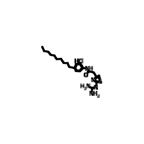 CCCCCCCCCCc1ccc(NC(=O)Cc2csc(N=C(N)N)n2)cc1.Cl